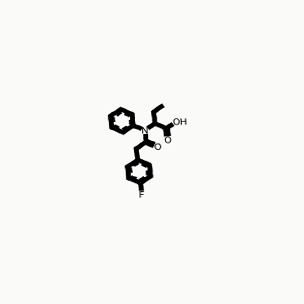 CCC(C(=O)O)N(C(=O)Cc1ccc(F)cc1)c1ccccc1